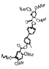 COc1cc(OC)c(C(=O)Oc2ccc(-c3ccc(OC(=O)c4cc(OC)c(OC)cc4OC)c(C)c3)cc2)cc1OC